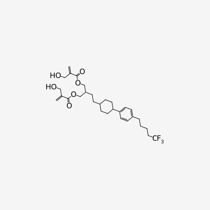 C=C(CO)C(=O)OCC(CCC1CCC(c2ccc(CCCCC(F)(F)F)cc2)CC1)COC(=O)C(=C)CO